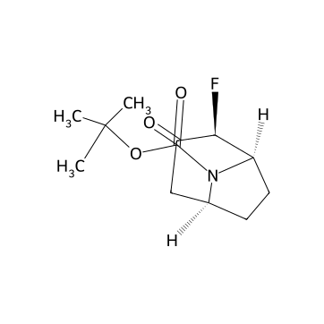 CC(C)(C)OC(=O)N1[C@H]2CC[C@@H]1[C@H](F)C(=O)C2